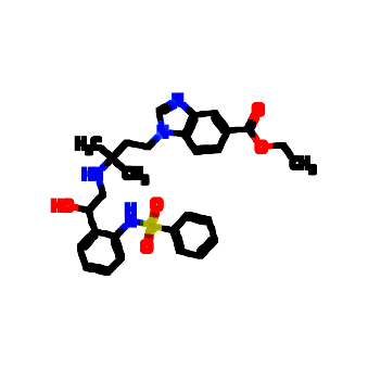 CCOC(=O)c1ccc2c(c1)ncn2CCC(C)(C)NCC(O)c1ccccc1NS(=O)(=O)c1ccccc1